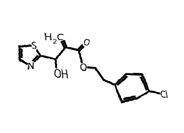 C=C(C(=O)OCCc1ccc(Cl)cc1)C(O)c1nccs1